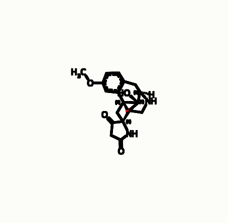 COc1ccc2c(c1)[C@]13CCN[C@H](C2)[C@]1(O)CC[C@@]1(C3)NC(=O)CC1=O